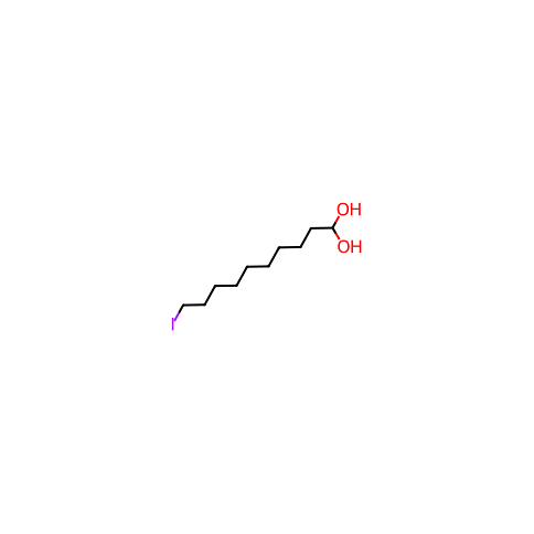 OC(O)CCCCCCCCCI